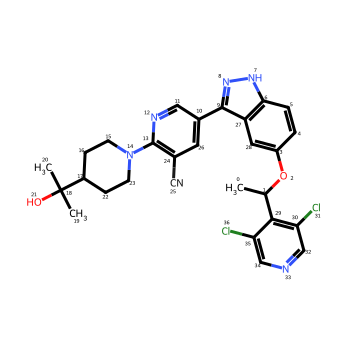 CC(Oc1ccc2[nH]nc(-c3cnc(N4CCC(C(C)(C)O)CC4)c(C#N)c3)c2c1)c1c(Cl)cncc1Cl